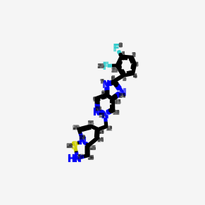 Fc1cccc(-c2nc3cnn(CC4=CC5=CNSN5C=C4)cc-3n2)c1F